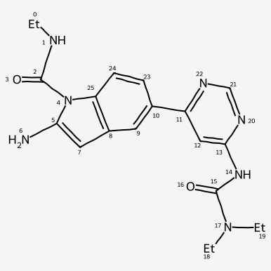 CCNC(=O)n1c(N)cc2cc(-c3cc(NC(=O)N(CC)CC)ncn3)ccc21